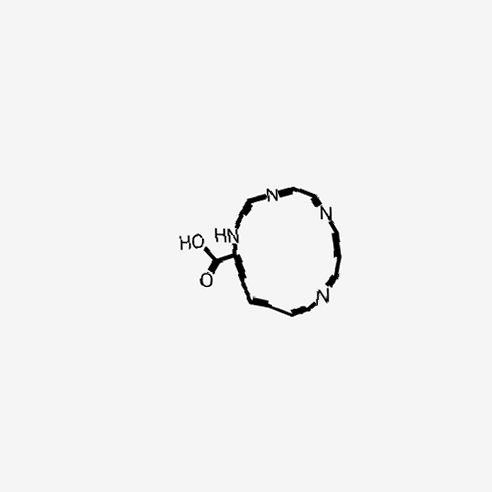 O=C(O)c1cccccncccnccncc[nH]1